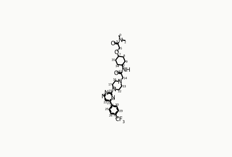 CN(C)C(=O)COC1CCC(NC(=O)CN2CCN(c3nncc(-c4ccc(C(F)(F)F)cc4)n3)CC2)CC1